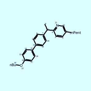 CCCCCc1ccc(C(C)c2ccc(-c3ccc(OCCCC)cc3)cc2)nc1